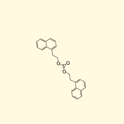 O=S(OCCc1cccc2ccccc12)OCCc1cccc2ccccc12